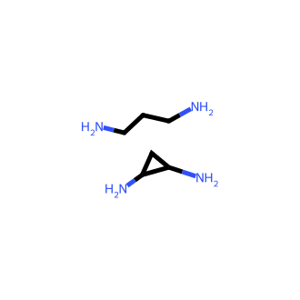 NC1CC1N.NCCCN